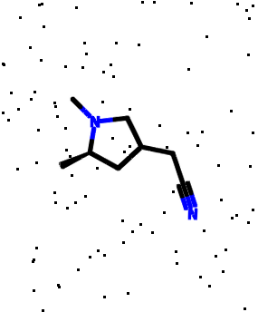 C[C@@H]1CC(CC#N)CN1C